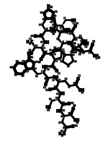 CC(C)C[C@H](NC(=O)[C@@H](N)CC(N)=O)C(=O)N1CCC[C@H]1C(=O)N[C@@H](CO)C(=O)N[C@@H](CS)C(=O)N[C@@H](Cc1c[nH]cn1)C(=O)N[C@H](C(=O)N1CCC[C@H]1C(=O)N[C@@H](Cc1c[nH]c2ccccc12)C(=O)N[C@@H](CCC(=O)O)C(=O)N[C@@H](CS)C(=O)N[C@@H](CC(N)=O)C(=O)O)[C@@H](C)O